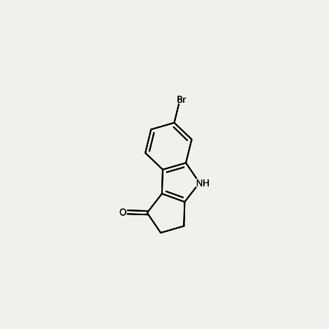 O=C1CCc2[nH]c3cc(Br)ccc3c21